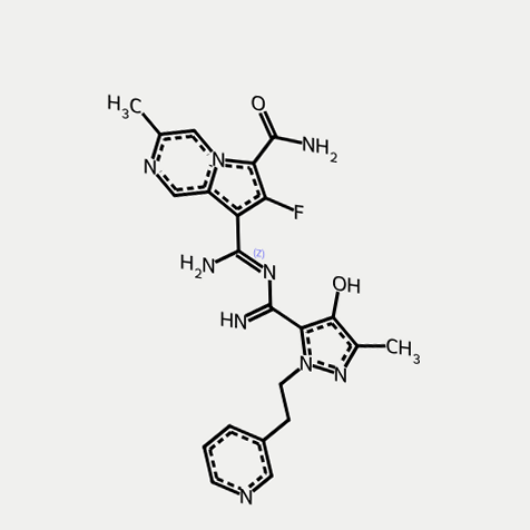 Cc1cn2c(C(N)=O)c(F)c(/C(N)=N/C(=N)c3c(O)c(C)nn3CCc3cccnc3)c2cn1